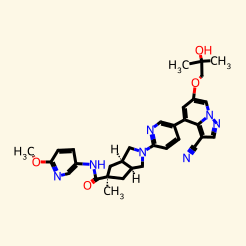 COc1ccc(NC(=O)[C@@]2(C)C[C@H]3CN(c4ccc(-c5cc(OCC(C)(C)O)cn6ncc(C#N)c56)cn4)C[C@H]3C2)cn1